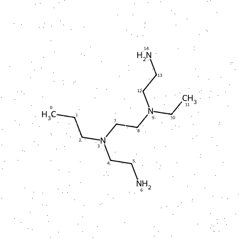 CCCN(CCN)CCN(CC)CCN